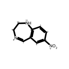 O=[N+]([O-])c1ccc2c(c1)C=NCCN2